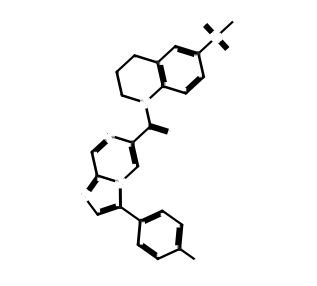 CS(=O)(=O)c1ccc2c(c1)CCCN2C(=O)c1cn2c(-c3ccc(C(F)(F)F)cc3)cnc2cn1